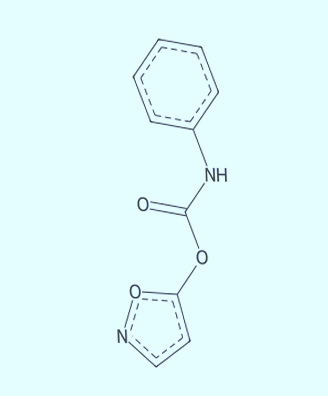 O=C(Nc1ccccc1)Oc1ccno1